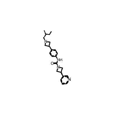 CCC(C)CN1CC(c2ccc(NC(=O)N3CC(c4cccnc4)C3)cc2)C1